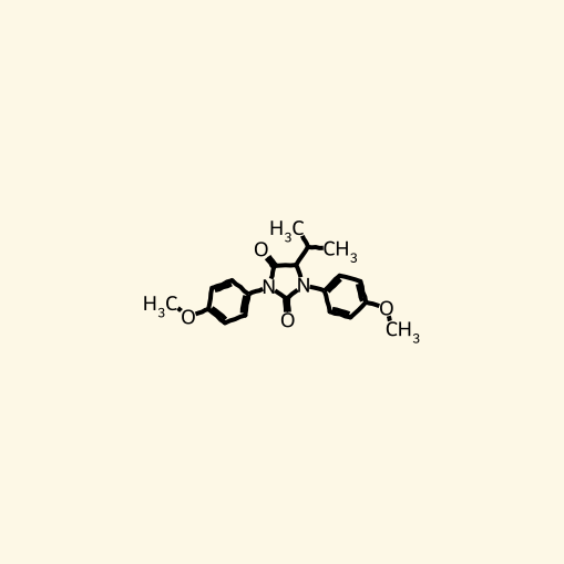 COc1ccc(N2C(=O)C(C(C)C)N(c3ccc(OC)cc3)C2=O)cc1